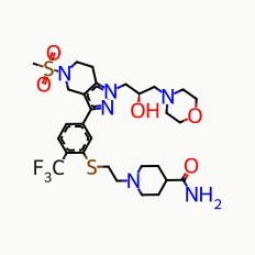 CS(=O)(=O)N1CCc2c(c(-c3ccc(C(F)(F)F)c(SCCN4CCC(C(N)=O)CC4)c3)nn2C[C@H](O)CN2CCOCC2)C1